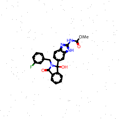 COC(=O)Nc1nc2ccc(C3(O)c4ccccc4C(=O)N3Cc3cccc(F)c3)cc2[nH]1